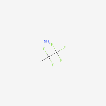 CC(F)(F)C(F)(F)F.N